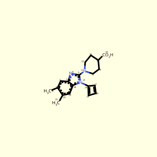 Cc1cc2nc(N3CCC(C(=O)O)CC3)n(C3=CC=C3)c2cc1C